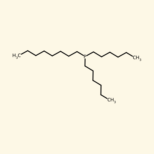 CCCCCCCCP(CCCCCC)CCCCCC